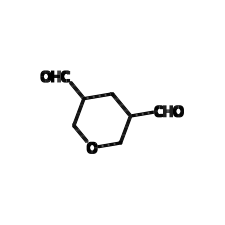 O=CC1COCC(C=O)C1